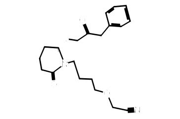 N#CCOCCCCN1C(=O)CCC[C@@H]1CCC(=O)Cc1ccccc1